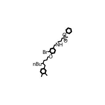 CCCCC(CCCOc1ccc(CNCCCP(C)(=O)Oc2ccccc2)cc1Br)Cc1ccc(C)c(C)c1